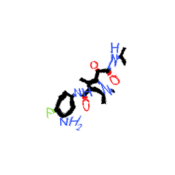 Cc1c(C(=O)Nc2ccc(F)c(N)c2)c(C)n(C)c1C(=O)C(=O)NC(C)C